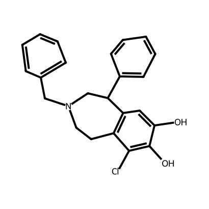 Oc1cc2c(c(Cl)c1O)CCN(Cc1ccccc1)CC2c1ccccc1